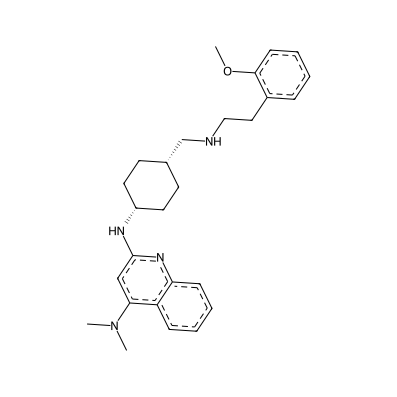 COc1ccccc1CCNC[C@H]1CC[C@@H](Nc2cc(N(C)C)c3ccccc3n2)CC1